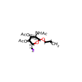 C=CCO[C@H]1O[C@H](CI)[C@@H](OC(C)=O)[C@H](OC(C)=O)[C@H]1NC(C)=O